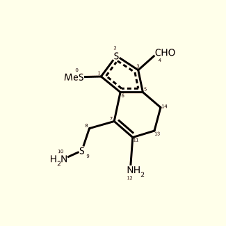 CSc1sc(C=O)c2c1C(CSN)=C(N)CC2